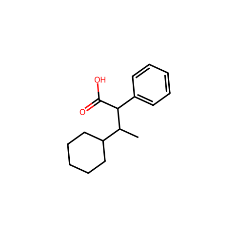 CC(C1CCCCC1)C(C(=O)O)c1ccccc1